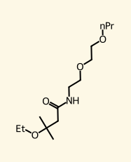 CCCOCCOCCNC(=O)CC(C)(C)OCC